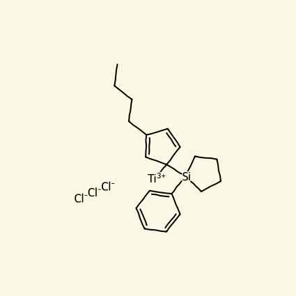 CCCCC1=C[C]([Ti+3])([Si]2(c3ccccc3)CCCC2)C=C1.[Cl-].[Cl-].[Cl-]